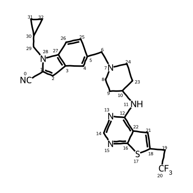 N#Cc1cc2cc(CN3CCC(Nc4ncnc5sc(CC(F)(F)F)cc45)CC3)ccc2n1CC1CC1